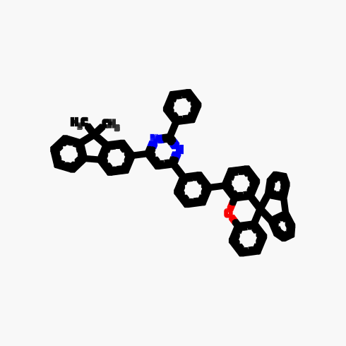 CC1(C)c2ccccc2-c2ccc(-c3cc(-c4cccc(-c5cccc6c5Oc5ccccc5C65c6ccccc6-c6ccccc65)c4)nc(-c4ccccc4)n3)cc21